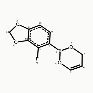 Fc1c(B2OC=CCO2)ccc2c1OCO2